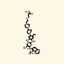 CCc1cc(Nc2ncc(Br)c(Nc3ccc4nccnc4c3P(C)(C)=O)n2)c(OC)cc1N1CCC(N2CCN(CCOCCC(N)=O)CC2)CC1